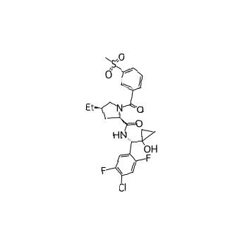 CC[C@@H]1C[C@H](C(=O)N[C@@H](c2cc(F)c(Cl)cc2F)C2(O)CC2)N(C(=O)c2cccc(S(C)(=O)=O)c2)C1